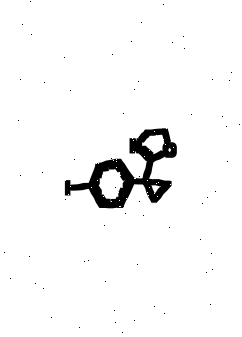 Ic1ccc(C2(C3=NCCO3)CC2)cc1